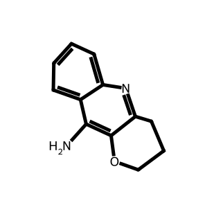 Nc1c2c(nc3ccccc13)CCCO2